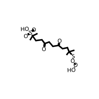 CC(C)(CCC(=O)CCC(=O)CCC(C)(C)S(=O)(=O)O)SOOO